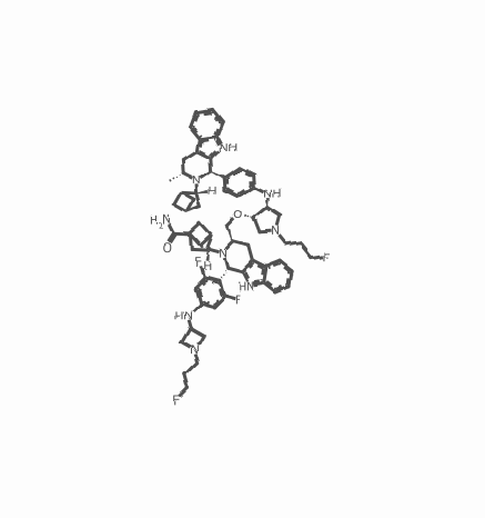 C[C@@H]1Cc2c([nH]c3ccccc23)[C@@H](c2ccc(N[C@H]3CN(CCCF)C[C@@H]3OC[C@H]3Cc4c([nH]c5ccccc45)[C@H](c4c(F)cc(NC5CN(CCCF)C5)cc4F)N3[C@@H]3CC4(C(N)=O)CC3C4)cc2)N1[C@@H]1CC2CC1C2